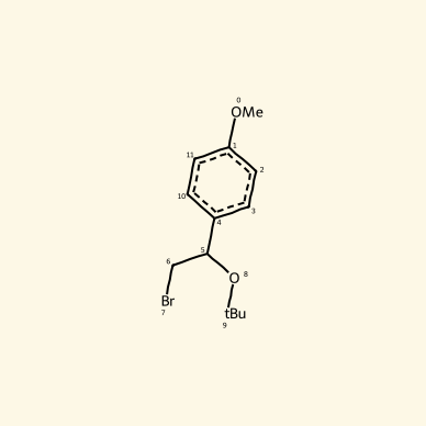 COc1ccc(C(CBr)OC(C)(C)C)cc1